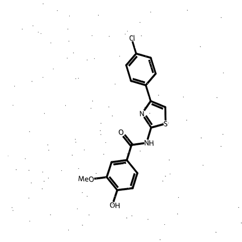 COc1cc(C(=O)Nc2nc(-c3ccc(Cl)cc3)cs2)ccc1O